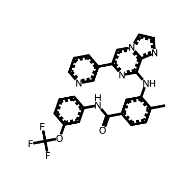 Cc1ccc(C(=O)Nc2cccc(OC(F)(F)F)c2)cc1Nc1nc(-c2cccnc2)cn2ccnc12